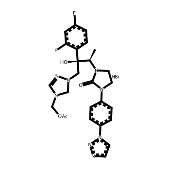 Br.CC(=O)OCN1C=NN(C[C@](O)(c2ccc(F)cc2F)[C@@H](C)N2CCN(c3ccc(-n4ccnn4)cc3)C2=O)C1